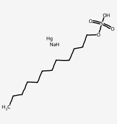 CCCCCCCCCCCCOS(=O)(=O)O.[Hg].[NaH]